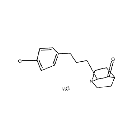 Cl.O=C1C2CCN(CC2)C1CCCc1ccc(Cl)cc1